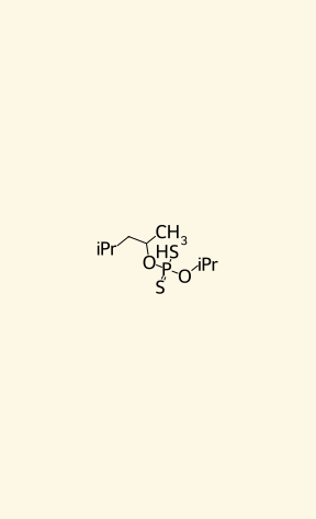 CC(C)CC(C)OP(=S)(S)OC(C)C